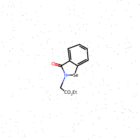 CCOC(=O)Cn1[se]c2ccccc2c1=O